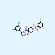 O=C1N2C(CCC2c2cc(F)cc(F)c2)OC12CCN(S(=O)(=O)c1cccc(F)c1)CC2